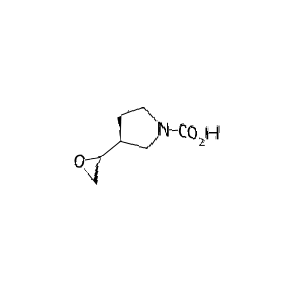 O=C(O)N1CC[C@H]([C@H]2CO2)C1